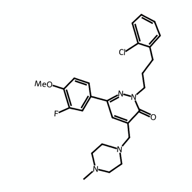 COc1ccc(-c2cc(CN3CCN(C)CC3)c(=O)n(CCCc3ccccc3Cl)n2)cc1F